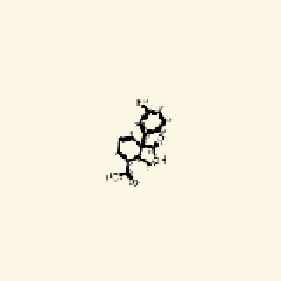 CC1C(C(=O)O)=CC=CC1(C(=O)O)c1cccc(F)c1